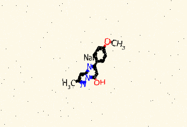 COc1ccc(-c2cc(O)n3nc(C)cc3n2)cc1.[NaH]